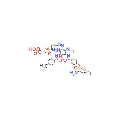 C/C=C(/N)S(=O)(=O)Cc1ccc(N=Nc2c(N)c(/N=N\c3ccc(S(=O)(=O)CCOS(=O)(=O)O)cc3)c(N)c(N=Nc3ccc(C)cc3)c2C(=O)O)cc1